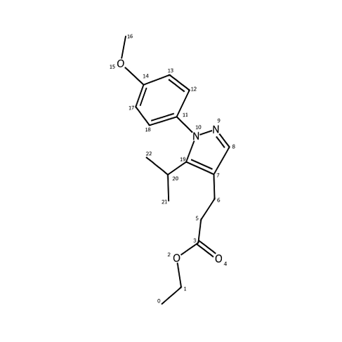 CCOC(=O)CCc1cnn(-c2ccc(OC)cc2)c1C(C)C